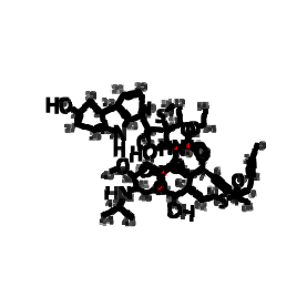 CC#C/C=C\C#C[C@H](OC1OC(C)C(SC)(C(=O)c2nccc3c2[nH]c2ccc(O)cc23)C(O)C1OC1CC(OC)C(NC(C)C)CO1)C1=C(NC(=O)OCC)C(=O)C[C@H](O)/C1=C/CSC(C)=O